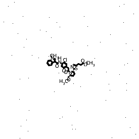 COC[C@@H]1CC[C@@H](c2ncc(CCC(=O)OC)s2)N1C(=O)Cc1cc(Cl)c(NC(=O)c2cn(C)c3ccccc23)cc1Cl